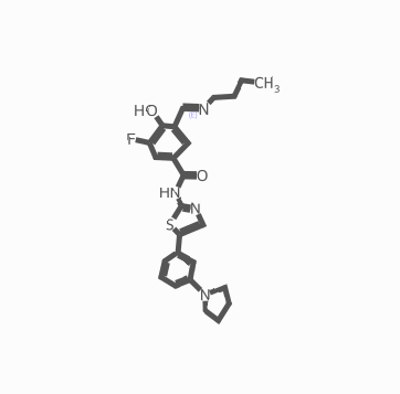 CCCC/N=C/c1cc(C(=O)Nc2ncc(-c3cccc(N4CCCC4)c3)s2)cc(F)c1O